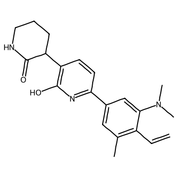 C=Cc1c(C)cc(-c2ccc(C3CCCNC3=O)c(O)n2)cc1N(C)C